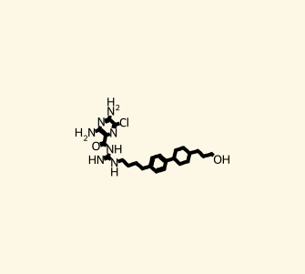 N=C(NCCCCc1ccc(C2CCC(CCCO)CC2)cc1)NC(=O)c1nc(Cl)c(N)nc1N